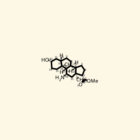 COC(=O)[C@H]1CC[C@H]2[C@@H]3CC[C@H]4C[C@@H](O)CC[C@]4(C)[C@H]3[C@H](N)C[C@]12C